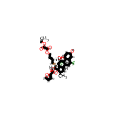 CCOC(=O)C(=O)OC/C=C/CSC(=O)[C@@]1(OC(=O)c2ccco2)[C@H](C)C[C@H]2[C@@H]3C[C@H](F)C4=CC(=O)C=C[C@]4(C)[C@@]3(F)[C@@H](O)C[C@@]21C